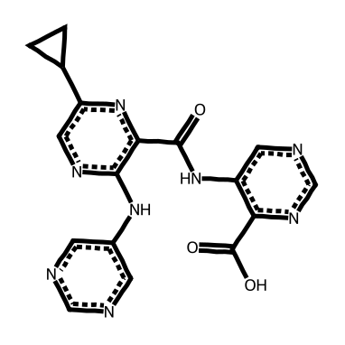 O=C(O)c1ncncc1NC(=O)c1nc(C2CC2)cnc1Nc1cncnc1